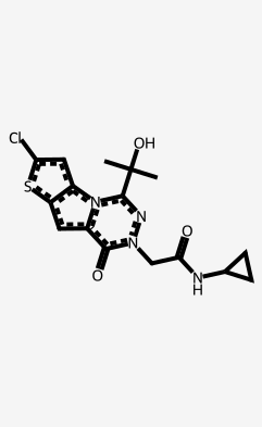 CC(C)(O)c1nn(CC(=O)NC2CC2)c(=O)c2cc3sc(Cl)cc3n12